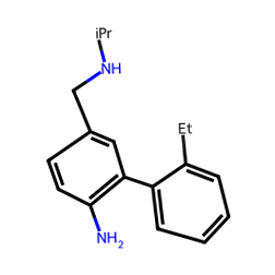 CCc1ccccc1-c1cc(CNC(C)C)ccc1N